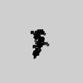 Cc1nc(OCc2ccc(F)cc2F)c(Br)c(=O)n1-c1cccc(-c2nc(C(C)(C)O)ncc2F)c1